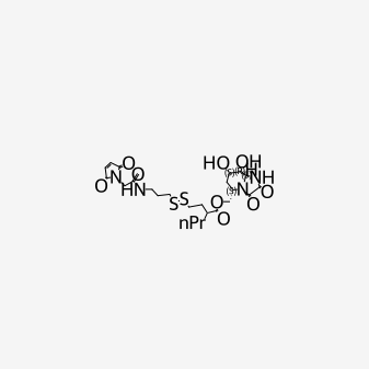 CCCC(CCSSCCCNC(=O)CN1C(=O)C=CC1=O)C(=O)OC[C@@H]1C[C@H](O)[C@H](O)[C@H]2NC(=O)C(=O)N12